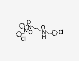 O=C(CCCCn1c(=O)c2ccccc2n(Cc2ccccc2Cl)c1=O)NCCc1ccc(Cl)cc1